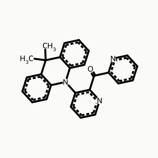 CC1(C)c2ccccc2N(c2cccnc2C(=O)c2ccccn2)c2ccccc21